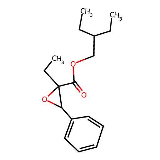 CCC(CC)COC(=O)C1(CC)OC1c1ccccc1